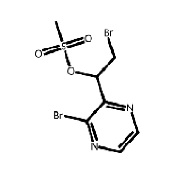 CS(=O)(=O)OC(CBr)c1nccnc1Br